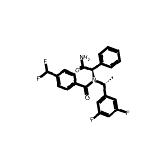 C[C@H](c1cc(F)cc(F)c1)N(C(=O)c1ccc(C(F)F)cc1)[C@@H](C(N)=O)c1ccccc1